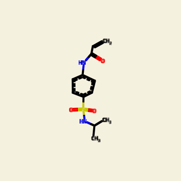 C=CC(=O)Nc1ccc(S(=O)(=O)NC(C)C)cc1